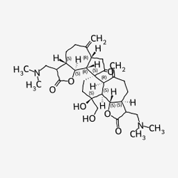 C=C1CC[C@H]2C(CN(C)C)C(=O)O[C@@H]2[C@@H]2[C@H]1CC(=O)[C@]21CC[C@@](O)(CO)[C@@H]2[C@H]3OC(=O)C(CN(C)C)[C@@H]3CCC(=C)[C@@H]21